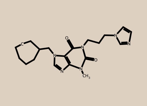 Cn1c(=O)n(CCCn2ccnc2)c(=O)c2c1ncn2CC1CCCCCC1